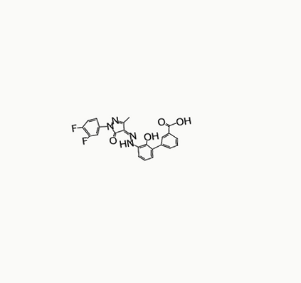 CC1=NN(c2ccc(F)c(F)c2)C(=O)C1=NNc1cccc(-c2cccc(C(=O)O)c2)c1O